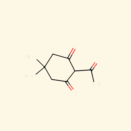 CCCC(=O)C1C(=O)CC(C)(C)CC1=O